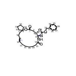 CN1CC(=O)OC2(CC/C=C/CCCCCC(=O)N/C1=N/C(=O)OCc1ccccc1)CCCC2